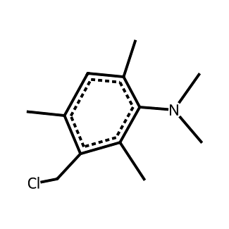 Cc1cc(C)c(N(C)C)c(C)c1CCl